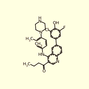 CC=C(/C=C\C(=C/C)Nc1c(C(=O)CCC)cnc2ccc(-c3cc(F)c(O)c(Cl)c3)cc12)N1CCNCC1